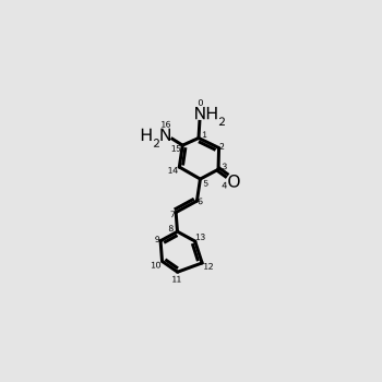 NC1=CC(=O)C(C=Cc2ccccc2)C=C1N